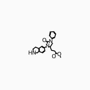 COC(=O)CCC1CN(c2ccccc2)C(=O)N1c1ccc2c(c1)CCNC2